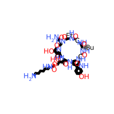 CCC1NC(=O)CNC(=O)[C@H]([C@@H](C)CC)NC(=O)CNC(=O)C(Cc2c(C)[nH]c3cc(O)ccc23)NC(=O)[C@H]([C@@H](C)[C@@H](O)COC(=O)NCCCCCCN)NC(=O)[C@@H]2C[C@@H](O)CN2C(=O)[C@H](CC(N)=O)NC1=O